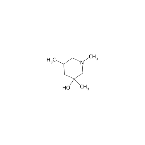 CC1CN(C)CC(C)(O)C1